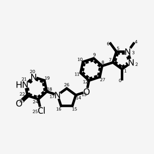 Cc1nn(C)c(C)c1-c1cccc(OC2CCN(c3cn[nH]c(=O)c3Cl)C2)c1